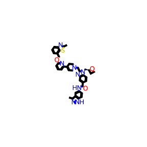 Cc1nc2cccc(COc3cccc(C4=CCN(Cc5nc6cc(C(=O)Nc7ccc8[nH]nc(C)c8c7)ccc6n5C[C@@H]5CCO5)CC4)n3)c2s1